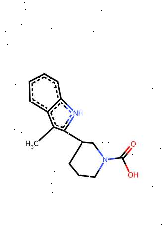 Cc1c(C2CCCN(C(=O)O)C2)[nH]c2ccccc12